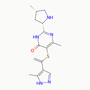 C=C(Sc1c(C)nc([C@@H]2C[C@H](C)CN2)[nH]c1=O)c1cn[nH]c1C